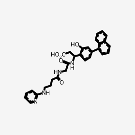 O=C(O)CC(NC(=O)CNC(=O)CCCNc1ccccn1)c1ccc(-c2cccc3ccccc23)cc1O